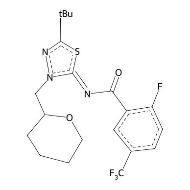 CC(C)(C)c1nn(CC2CCCCO2)c(=NC(=O)c2cc(C(F)(F)F)ccc2F)s1